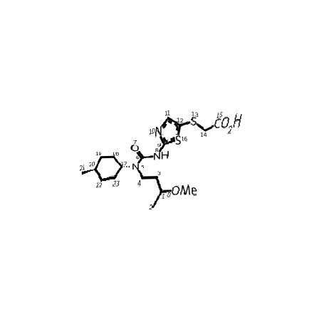 COC(C)CCN(C(=O)Nc1ncc(SCC(=O)O)s1)[C@H]1CC[C@H](C)CC1